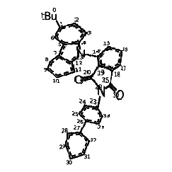 CC(C)(C)c1ccc2c(c1)c1ccccc1n2-c1cccc2c1C(=O)N(c1ccc(-c3ccccc3)cc1)C2=O